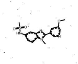 COc1cncc(-c2nc3cc(NS(C)(=O)=O)ccc3n2C)c1